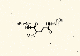 CCCCNNC(=O)CCC(NC)C(=O)NNCCCC